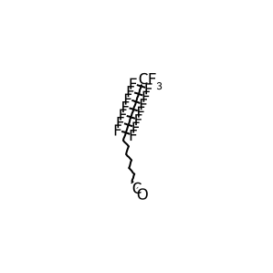 O=C=CCCCCCCC(F)(F)C(F)(F)C(F)(F)C(F)(F)C(F)(F)C(F)(F)C(F)(F)C(F)(F)F